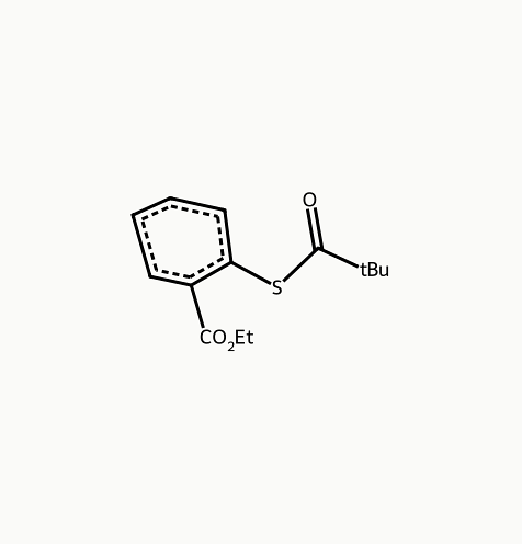 CCOC(=O)c1ccccc1SC(=O)C(C)(C)C